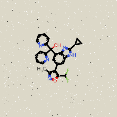 Cc1noc(C(F)F)c1-c1cc(C(O)(c2ccccn2)c2ccccn2)c2nc(C3CC3)[nH]c2c1